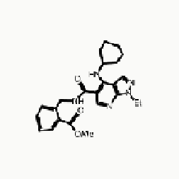 CCn1ncc2c(NC3CCCCC3)c(C(=O)NCc3ccccc3C(=O)OC)cnc21